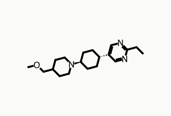 CCc1ncc([C@H]2CC[C@H](N3CCC(COC)CC3)CC2)cn1